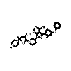 CN1CCN(C(C)(C)/C=C(/C#N)C(=O)N2CCCC(n3nc(-c4ccc(Oc5ccccc5)cc4F)c4c(N)ncnc43)C2)CC1